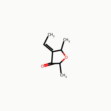 CC=C1C(=O)C(C)OC1C